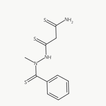 CN(NC(=S)CC(N)=S)C(=S)c1ccccc1